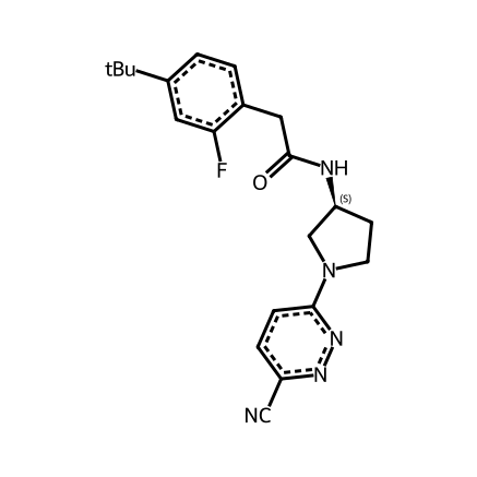 CC(C)(C)c1ccc(CC(=O)N[C@H]2CCN(c3ccc(C#N)nn3)C2)c(F)c1